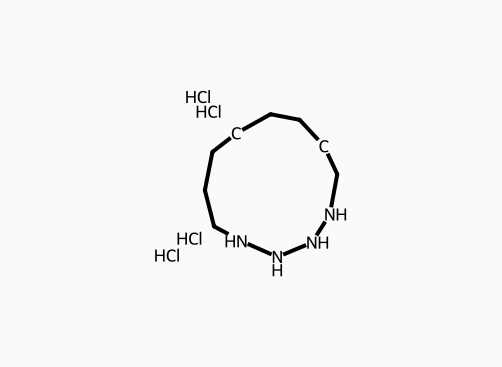 C1CCCCNNNNCCC1.Cl.Cl.Cl.Cl